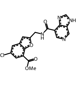 COC(=O)c1cc(Cl)cc2cc(CNC(=O)c3cncc4[nH]cnc34)oc12